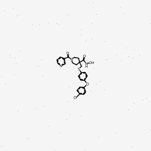 O=C(c1cccnc1)N1CCC(CSc2ccc(Oc3ccc(Cl)cc3)cc2)(C(=O)NO)CC1